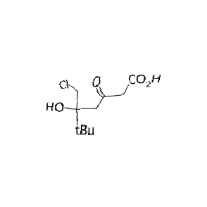 CC(C)(C)C(O)(CCl)CC(=O)CC(=O)O